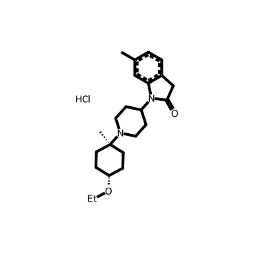 CCO[C@H]1CC[C@](C)(N2CCC(N3C(=O)Cc4ccc(C)cc43)CC2)CC1.Cl